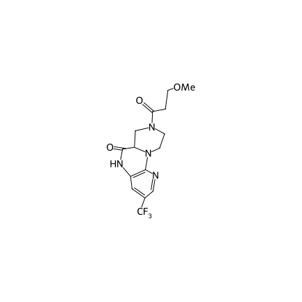 COCCC(=O)N1CCN2c3ncc(C(F)(F)F)cc3NC(=O)C2C1